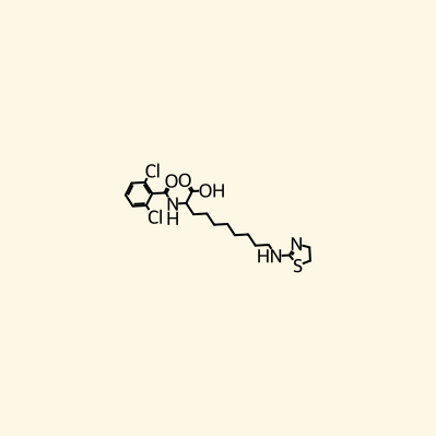 O=C(NC(CCCCCCCCNC1=NCCS1)C(=O)O)c1c(Cl)cccc1Cl